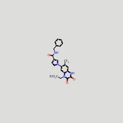 CCOC(=O)Cn1c(=O)c(=O)[nH]c2cc(C(F)(F)F)c(-n3ccc(C(=O)NCc4ccccc4)c3)cc21